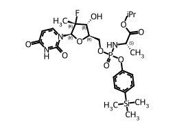 CC(C)OC(=O)[C@H](C)NP(=O)(OC[C@H]1O[C@@H](n2ccc(=O)[nH]c2=O)[C@](C)(F)[C@@H]1O)Oc1ccc([Si](C)(C)C)cc1